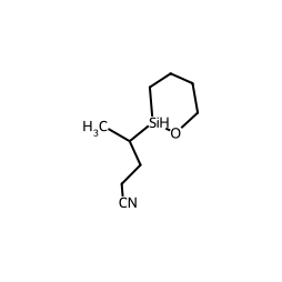 CC(CCC#N)[SiH]1CCCCO1